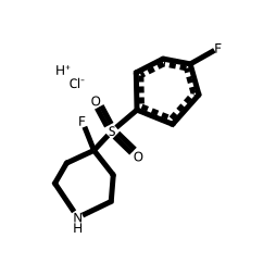 O=S(=O)(c1ccc(F)cc1)C1(F)CCNCC1.[Cl-].[H+]